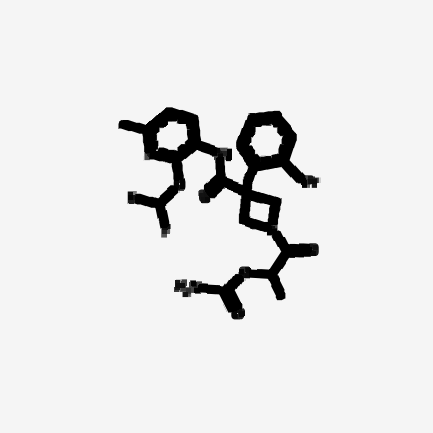 Cc1ccc(NC(=O)C2(c3ccccc3C(C)C)CN(C(=O)C(C)OC(N)=O)C2)c(OC(F)F)n1